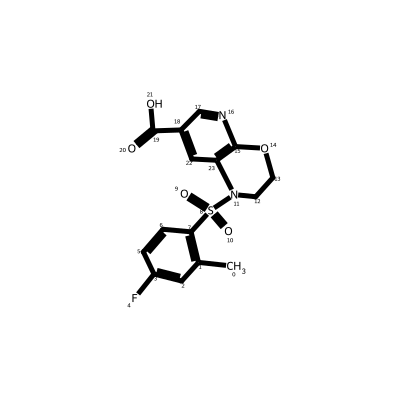 Cc1cc(F)ccc1S(=O)(=O)N1CCOc2ncc(C(=O)O)cc21